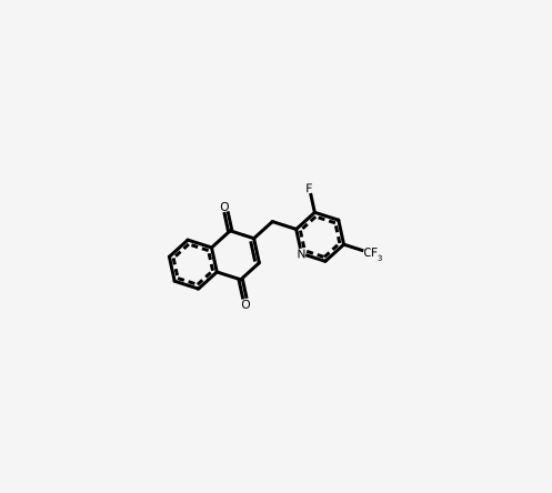 O=C1C=C(Cc2ncc(C(F)(F)F)cc2F)C(=O)c2ccccc21